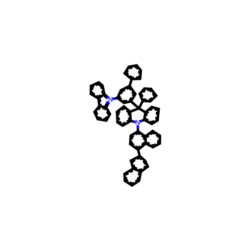 c1ccc(-c2cc(-n3c4ccccc4c4ccccc43)cc(C3(c4ccccc4)c4ccccc4N(c4ccc(-c5ccc6ccccc6c5)c5ccccc45)c4ccccc43)c2)cc1